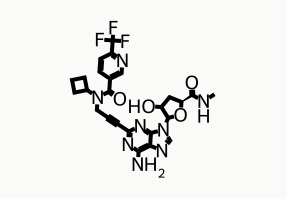 CNC(=O)[C@@H]1CC(O)C(n2cnc3c(N)nc(C#CCN(C(=O)c4ccc(C(F)(F)F)nc4)C4CCC4)nc32)O1